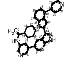 C=C(Nc1cncc(-c2cnc3[nH]nc(-c4cc5c(-c6ccncc6)cccc5[nH]4)c3c2)c1)C1CCCCC1